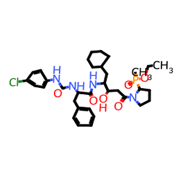 CCOP(C)(=O)C1CCCN1C(=O)CC(O)C(CC1CCCCC1)NC(=O)C(Cc1ccccc1)NC(=O)Nc1ccc(Cl)cc1